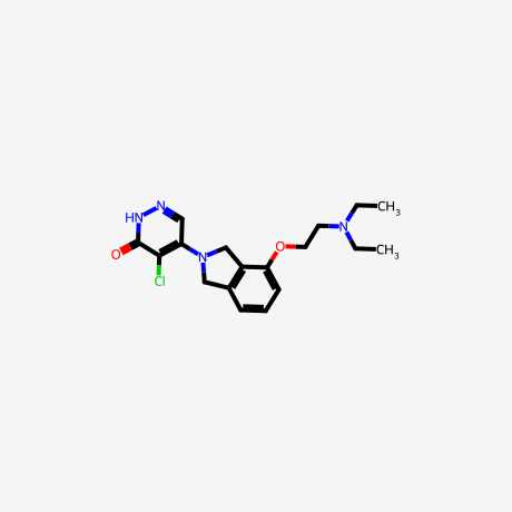 CCN(CC)CCOc1cccc2c1CN(c1cn[nH]c(=O)c1Cl)C2